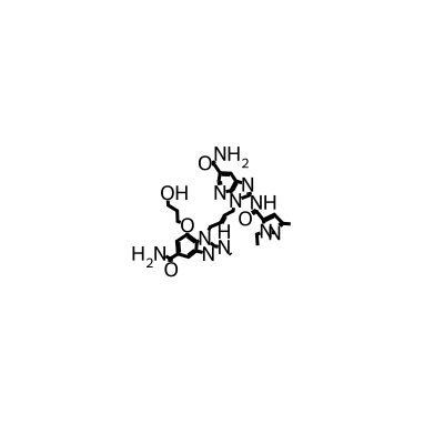 CCn1nc(C)cc1C(=O)Nc1nc2cc(C(N)=O)cnc2n1C/C=C/Cn1c(NC)nc2cc(C(N)=O)cc(OCCCO)c21